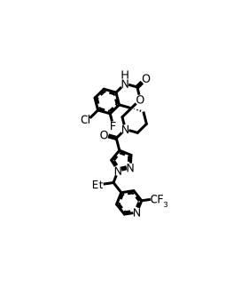 CCC(c1ccnc(C(F)(F)F)c1)n1cc(C(=O)N2CCC[C@@]3(C2)OC(=O)Nc2ccc(Cl)c(F)c23)cn1